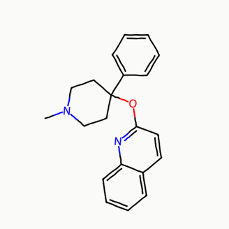 CN1CCC(Oc2ccc3ccccc3n2)(c2ccccc2)CC1